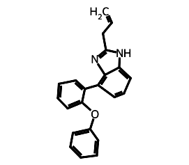 C=CCc1nc2c(-c3ccccc3Oc3ccccc3)cccc2[nH]1